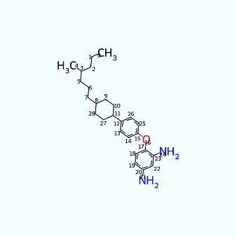 CCCC(C)CCCC1CCC(c2ccc(Oc3ccc(N)cc3N)cc2)CC1